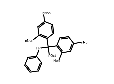 CCCCCCCCCc1ccc(C(CCCCCCCC)(Pc2ccccc2)c2ccc(CCCCCCCCC)cc2CCCCCCCCC)c(CCCCCCCCC)c1